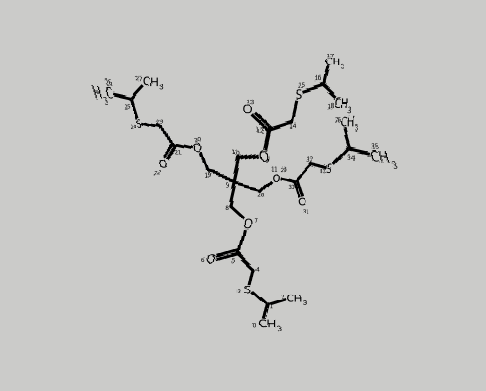 CC(C)SCC(=O)OCC(COC(=O)CSC(C)C)(COC(=O)CSC(C)C)COC(=O)CSC(C)C